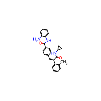 Cc1ccccc1/C(=C/c1ccc(C(=O)Nc2ccccc2N)cc1)C(=O)NC1CC1